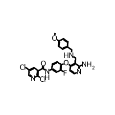 COc1ccc(CNCc2c(Oc3ccc(NC(=O)c4cc(Cl)cnc4Cl)cc3F)ccnc2N)cc1